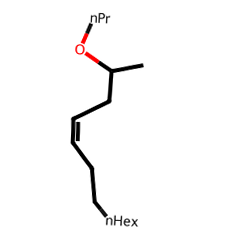 CCCCCCCC/C=C\CC(C)OCCC